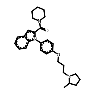 CC1CCCN1CCCOc1ccc(-n2c(C(=O)N3CCCCC3)cc3ccccc32)cc1